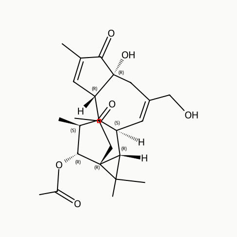 CC(=O)C[C@@]12[C@H](OC(C)=O)[C@@H](C)C3[C@@H](C=C(CO)C[C@]4(O)C(=O)C(C)=C[C@@H]34)[C@@H]1C2(C)C